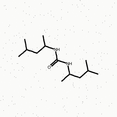 CC(C)CC(C)NC(=O)NC(C)CC(C)C